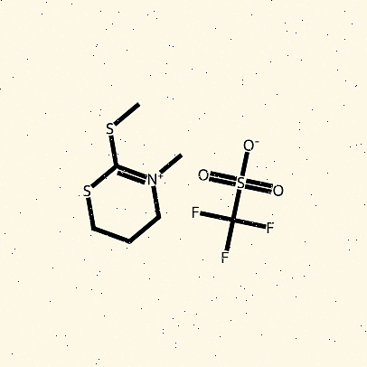 CSC1=[N+](C)CCCS1.O=S(=O)([O-])C(F)(F)F